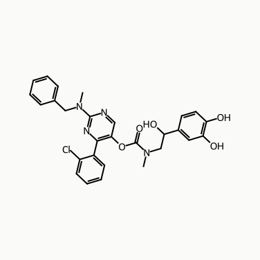 CN(CC(O)c1ccc(O)c(O)c1)C(=O)Oc1cnc(N(C)Cc2ccccc2)nc1-c1ccccc1Cl